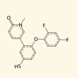 Cn1cc(-c2cc(S)ccc2Oc2ccc(F)cc2F)ccc1=O